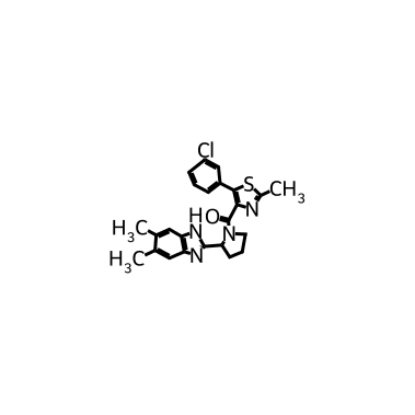 Cc1nc(C(=O)N2CCCC2c2nc3cc(C)c(C)cc3[nH]2)c(-c2cccc(Cl)c2)s1